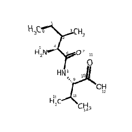 CCC(C)[C@H](N)C(=O)N[C@H](C(=O)O)C(C)C